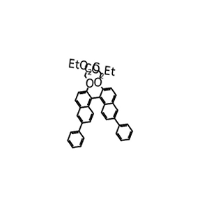 CCOC(=O)COc1ccc2cc(-c3ccccc3)ccc2c1-c1c(OCC(=O)OCC)ccc2cc(-c3ccccc3)ccc12